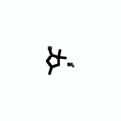 CCN1CC(C)C[Si]1(C)C.N